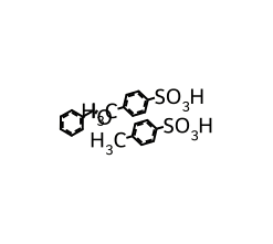 Cc1ccc(S(=O)(=O)O)cc1.Cc1ccc(S(=O)(=O)O)cc1.O=Ic1ccccc1